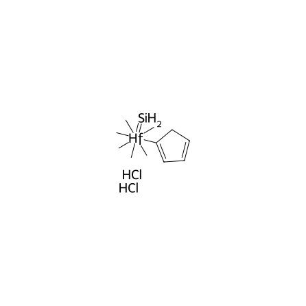 Cl.Cl.[CH3][Hf]([CH3])([CH3])([CH3])([CH3])([CH3])(=[SiH2])[C]1=CC=CC1